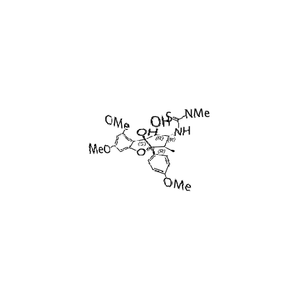 CNC(=S)N[C@H]1[C@@H](O)[C@@]2(O)c3c(OC)cc(OC)cc3O[C@@]2(c2ccc(OC)cc2)[C@@H]1C